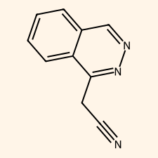 N#CCc1nncc2ccccc12